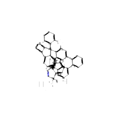 CC(N)(/C=C\C(=N)c1cccc(-c2ccccc2-c2ccc3c(c2)Oc2ccccc2C32c3ccccc3-c3ccccc32)c1)c1ccccc1